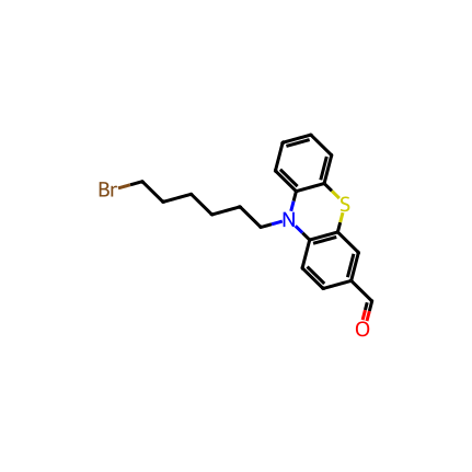 O=Cc1ccc2c(c1)Sc1ccccc1N2CCCCCCBr